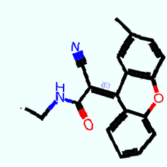 [CH2]CNC(=O)/C(C#N)=C1\c2ccccc2Oc2ccc(C)cc21